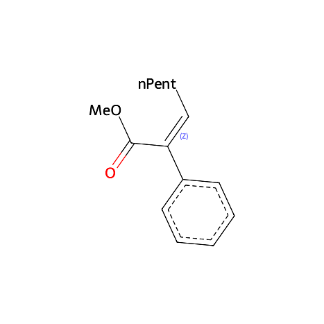 CCCCC/C=C(\C(=O)OC)c1ccccc1